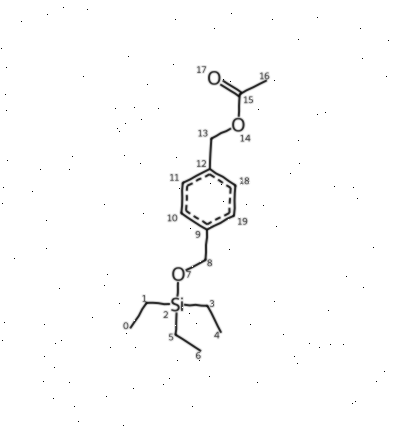 CC[Si](CC)(CC)OCc1ccc(COC(C)=O)cc1